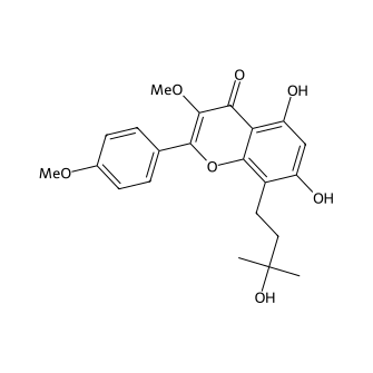 COc1ccc(-c2oc3c(CCC(C)(C)O)c(O)cc(O)c3c(=O)c2OC)cc1